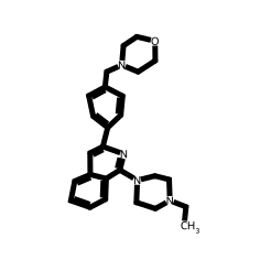 CCN1CCN(c2nc(-c3ccc(CN4CCOCC4)cc3)cc3ccccc23)CC1